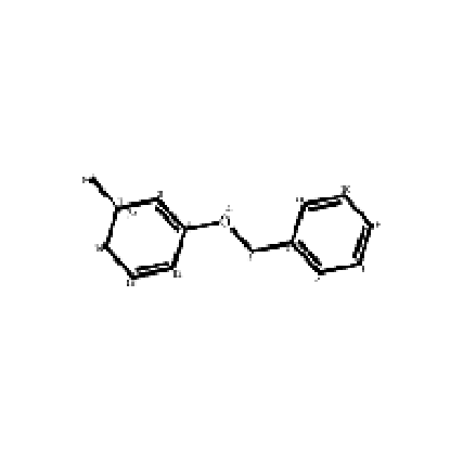 C[C@H]1C=C(OCc2ccccc2)C=CC1